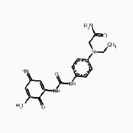 CCN(CC(N)=O)c1ccc(NC(=O)NC2=CC(=N)C=C(C)C2=O)cc1